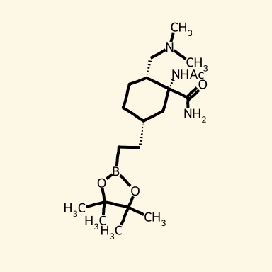 CC(=O)N[C@]1(C(N)=O)C[C@H](CCB2OC(C)(C)C(C)(C)O2)CC[C@@H]1CN(C)C